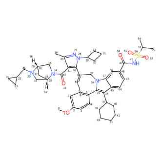 COc1ccc2c(c1)C=C(c1c(C(=O)N3C[C@@H]4C[C@H]3CN4CC3CC3)c(C)nn1C1CCC1)Cn1c-2c(C2CCCCC2)c2ccc(C(=O)NS(=O)(=O)C(C)C)cc21